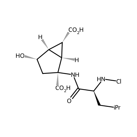 CC(C)C[C@H](NCl)C(=O)N[C@@]1(C(=O)O)C[C@H](O)[C@H]2[C@H](C(=O)O)[C@H]21